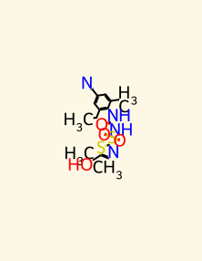 CCc1cc(C#N)cc(CC)c1NC(=O)NS(=O)(=O)c1ncc(C(C)(C)O)s1